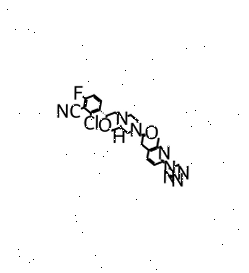 Cc1nc(-n2cnnn2)ccc1CC(=O)N1CCN2C[C@@H](c3ccc(F)c(C#N)c3Cl)OC[C@@H]2C1